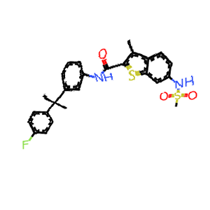 Cc1c(C(=O)Nc2cccc(C(C)(C)c3ccc(F)cc3)c2)sc2cc(NS(C)(=O)=O)ccc12